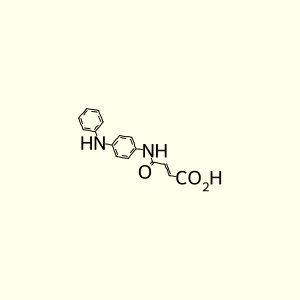 O=C(O)C=CC(=O)Nc1ccc(Nc2ccccc2)cc1